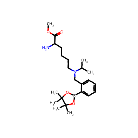 COC(=O)C(N)CCCCN(Cc1ccccc1B1OC(C)(C)C(C)(C)O1)C(C)C